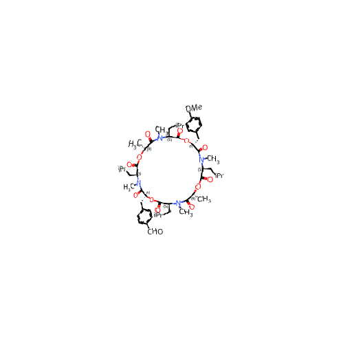 COc1ccc(C[C@H]2OC(=O)[C@H](CC(C)C)N(C)C(=O)[C@@H](C)OC(=O)[C@H](CC(C)C)N(C)C(=O)[C@@H](Cc3ccc(C=O)cc3)OC(=O)[C@H](CC(C)C)N(C)C(=O)[C@@H](C)OC(=O)[C@H](CC(C)C)N(C)C2=O)cc1